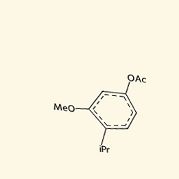 COc1cc(OC(C)=O)ccc1C(C)C